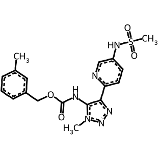 Cc1cccc(COC(=O)Nc2c(-c3ccc(NS(C)(=O)=O)cn3)nnn2C)c1